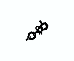 Cc1cccc2nc(N3CCN(C)CC3)oc12